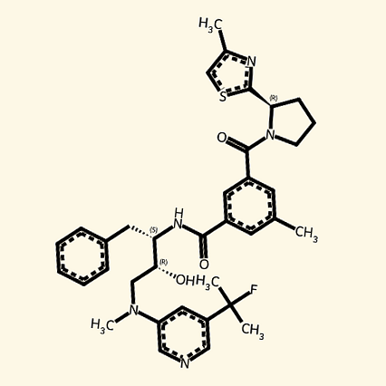 Cc1cc(C(=O)N[C@@H](Cc2ccccc2)[C@H](O)CN(C)c2cncc(C(C)(C)F)c2)cc(C(=O)N2CCC[C@@H]2c2nc(C)cs2)c1